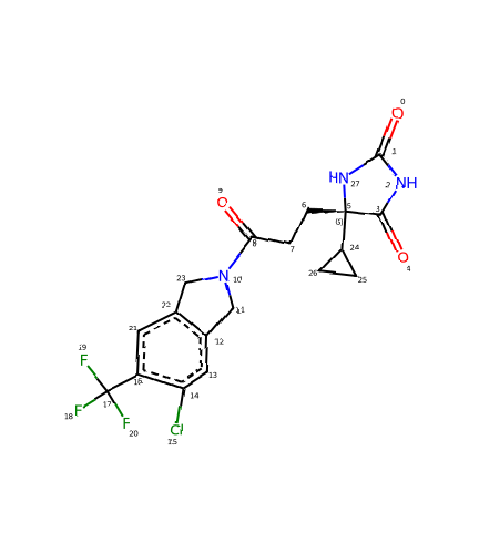 O=C1NC(=O)[C@](CCC(=O)N2Cc3cc(Cl)c(C(F)(F)F)cc3C2)(C2CC2)N1